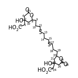 O=C(O)CC1(O)CC(=O)OC(CCCSCCCSCCCC2CC(O)(CC(=O)O)CC(=O)O2)C1